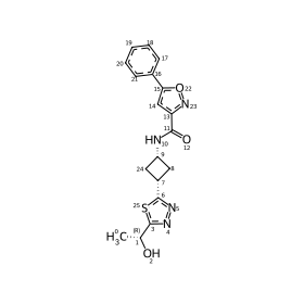 C[C@@H](O)c1nnc([C@H]2C[C@@H](NC(=O)c3cc(-c4ccccc4)on3)C2)s1